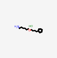 Cl.NCCCCCCOCCCCc1ccccc1